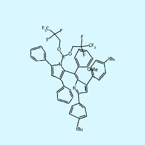 COc1ccccc1/C(=C1/N=C(c2ccc(C(C)(C)C)cc2)C=C1c1ccc(C(C)(C)C)cc1)c1c(-c2ccccc2)cc(-c2ccccc2)n1B(OCC(F)(F)C(F)(F)F)OCC(F)(F)C(F)(F)F